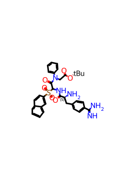 CC(C)(C)OC(=O)CN(C(=O)C(NC(=O)[C@@H](N)Cc1ccc(C(=N)N)cc1)S(=O)(=O)c1ccc2ccccc2c1)c1ccccc1